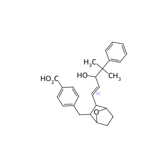 CC(C)(c1ccccc1)C(O)/C=C/C1C2CCC(O2)C1Cc1ccc(C(=O)O)cc1